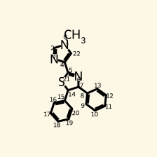 Cn1cnc(C2=NC(c3ccccc3)C(c3ccccc3)S2)c1